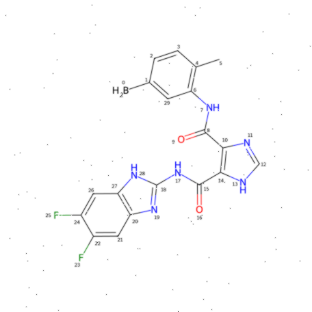 Bc1ccc(C)c(NC(=O)c2nc[nH]c2C(=O)Nc2nc3cc(F)c(F)cc3[nH]2)c1